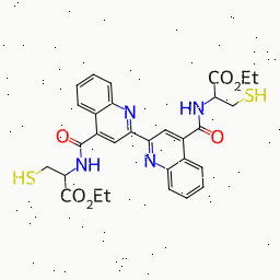 CCOC(=O)C(CS)NC(=O)c1cc(-c2cc(C(=O)NC(CS)C(=O)OCC)c3ccccc3n2)nc2ccccc12